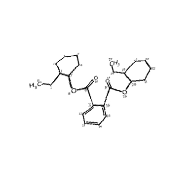 CCC1CCCCC1OC(=O)c1ccccc1C(=O)OC1CCCCC1CC